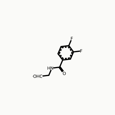 O=[C]CNC(=O)c1ccc(F)c(F)c1